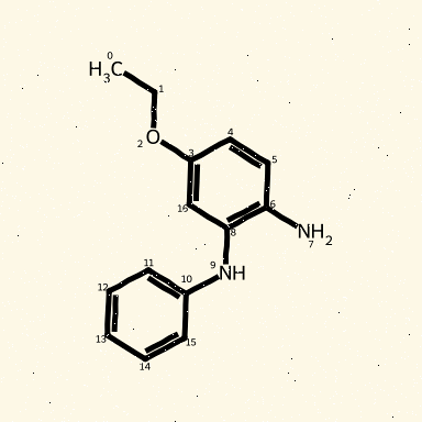 CCOc1ccc(N)c(Nc2ccccc2)c1